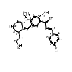 COc1cc(O)c(C(=O)/C=C/c2ccc(F)cc2)cc1CN1CCNCC1CCO